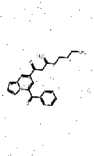 C=C(CCCCC)CC(=O)c1cc(C(=O)c2ccccc2)n2cccc2c1